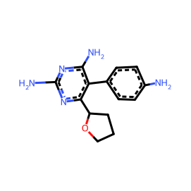 Nc1ccc(-c2c(N)nc(N)nc2C2CCCO2)cc1